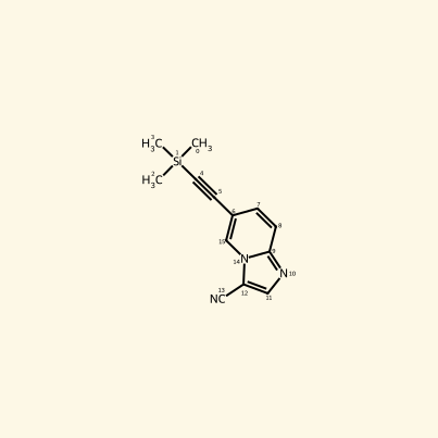 C[Si](C)(C)C#Cc1ccc2ncc(C#N)n2c1